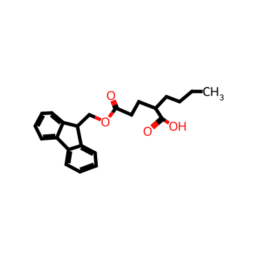 CCCCC(CCC(=O)OCC1c2ccccc2-c2ccccc21)C(=O)O